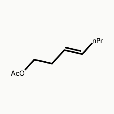 CCCC=CCCOC(C)=O